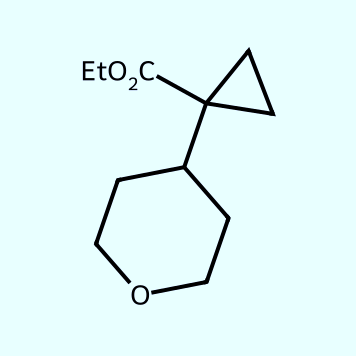 CCOC(=O)C1(C2CCOCC2)CC1